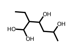 CCC(C(O)O)C(O)CC(C)O